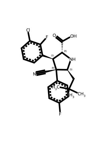 CC(C)(C)C[C@@H]1N[C@@H](C(=O)O)[C@H](c2cccc(Cl)c2F)[C@@]1(C#N)c1ccc(F)cc1